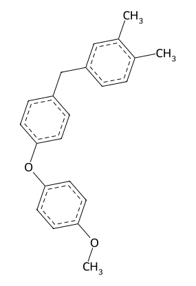 COc1ccc(Oc2ccc(Cc3ccc(C)c(C)c3)cc2)cc1